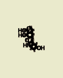 O=C1Nc2ccc(O)cc2C1=CC1Cc2cccc(O)c2C(O)C1